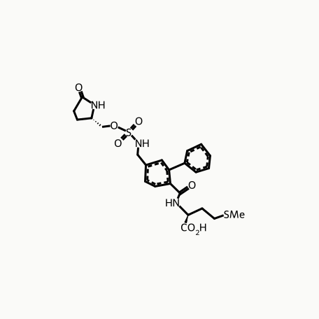 CSCC[C@H](NC(=O)c1ccc(CNS(=O)(=O)OC[C@@H]2CCC(=O)N2)cc1-c1ccccc1)C(=O)O